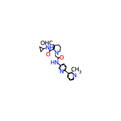 Cc1ncccc1-c1ccc(NC(=O)CN2CCCC(C=O)=C2C(=O)NC2CC2)cn1